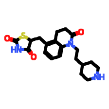 O=C1NC(=O)C(Cc2cccc3c2CCC(=O)N3CCC2CCNCC2)S1